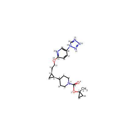 CC1(OC(=O)N2CCC([C@H]3C[C@H]3CCOc3ccc(-n4cnnn4)cn3)CC2)CC1